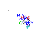 NC(=O)/N=C(\NC1CCCC1)N1CCN(C(=O)c2ccc(Nc3nc(NC4(c5ccc(Cl)cc5)CC4)nc(OCC(F)(F)F)n3)cc2)CC1